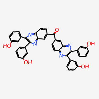 O=C(c1ccc2nc(-c3cccc(O)c3)c(-c3cccc(O)c3)nc2c1)c1ccc2nc(-c3cccc(O)c3)c(-c3cccc(O)c3)nc2c1